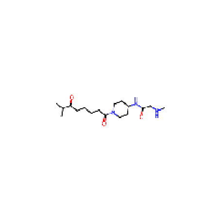 CNCC(=O)NC1CCN(C(=O)CCCCC(=O)C(C)C)CC1